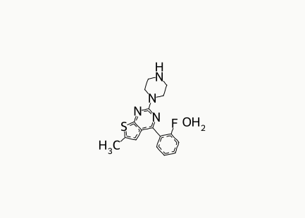 Cc1cc2c(-c3ccccc3F)nc(N3CCNCC3)nc2s1.O